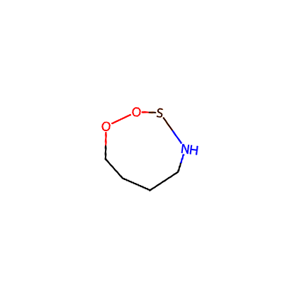 C1CCOOSNC1